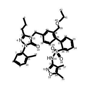 CCCc1nn(-c2ccccc2C)c(=O)n1Cc1ccc(-c2ccccc2S(=O)(=O)Nc2noc(C)c2C)c(COCC)c1